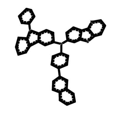 c1ccc(-n2c3ccccc3c3cc(N(c4ccc(-c5ccc6ccccc6c5)cc4)c4ccc5c(c4)sc4cccnc45)ccc32)cc1